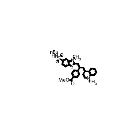 CCCCNS(=O)(=O)c1ccc2sc(/C=C(/C=C3\C=CN(C)c4ccccc43)c3ccc(C(=O)OC)cc3)[n+](C)c2c1